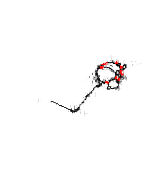 COc1ccc(C[C@@H]2NC(=O)[C@H]([C@@H](C)O)NC(=O)[C@@H]3[C@@H]4CCN3C(=O)[C@@H]3Cc5cn(c6ccc(F)cc56)CCCCCCN(Cc5ccc(cc5)CCNC(=O)[C@]5(C)CCCN5C2=O)C(=O)CCC(=O)N[C@@H](C)C(=O)N[C@H](CNC(=O)COCCOCCNC(=O)COCCOCCNC(=O)CC[C@H](NC(=O)CCCCCCCCCCCCCCC(=O)O)C(=O)O)C(=O)N[C@@H](Cc2cccc(c2)CNC(=O)CO4)C(=O)N3)cc1